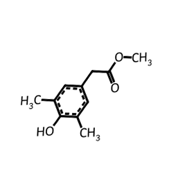 COC(=O)Cc1cc(C)c(O)c(C)c1